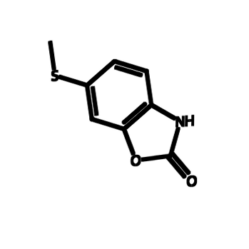 CSc1ccc2[nH]c(=O)oc2c1